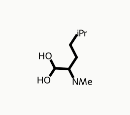 CNC(CCC(C)C)C(O)O